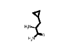 NC(=O)[C@@H](N)CC1CC1